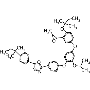 CCC(C)(C)Oc1ccc(Oc2ccc(Oc3ccc(-c4nnc(-c5ccc(C(C)(C)CC)cc5)o4)cc3)c(OC(C)C)c2)cc1C1OC1C